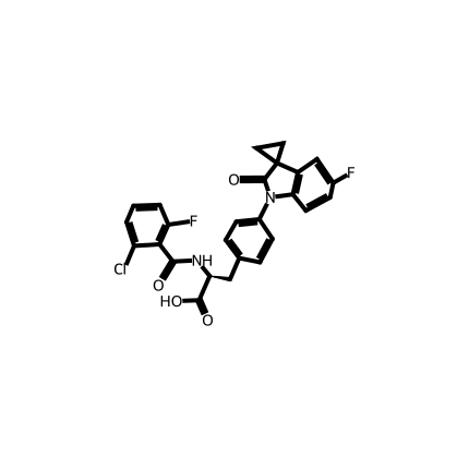 O=C(N[C@@H](Cc1ccc(N2C(=O)C3(CC3)c3cc(F)ccc32)cc1)C(=O)O)c1c(F)cccc1Cl